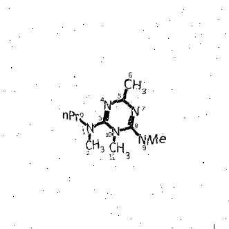 CCCN(C)C1=NC(C)N=C(NC)N1C